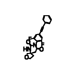 O=C1C[C@]2(CCOC2)NC(=O)N1c1c(F)cc(C#Cc2ccccc2)cc1F